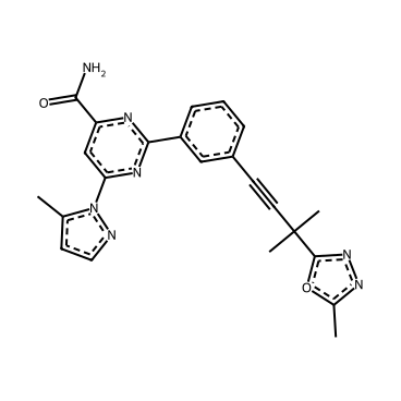 Cc1nnc(C(C)(C)C#Cc2cccc(-c3nc(C(N)=O)cc(-n4nccc4C)n3)c2)o1